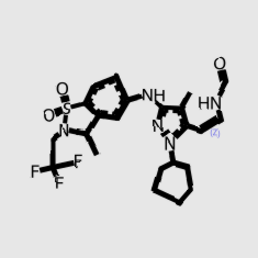 Cc1c(Nc2ccc3c(c2)C(C)N(CC(F)(F)F)S3(=O)=O)nn(C2CCCCC2)c1/C=C\NC=O